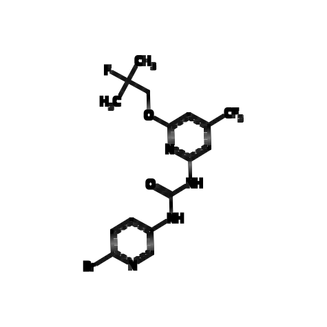 CC(C)(F)COc1cc(C(F)(F)F)cc(NC(=O)Nc2ccc(Br)nc2)n1